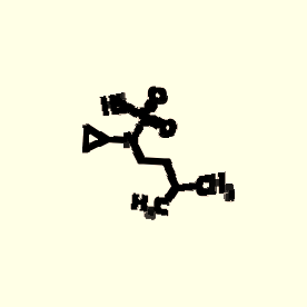 CC(C)CCN(C1CC1)S(=O)(=O)S